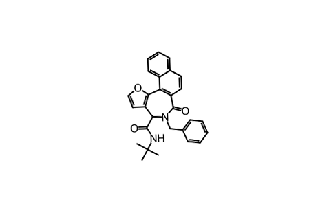 CC(C)(C)NC(=O)C1c2ccoc2-c2c(ccc3ccccc23)C(=O)N1Cc1ccccc1